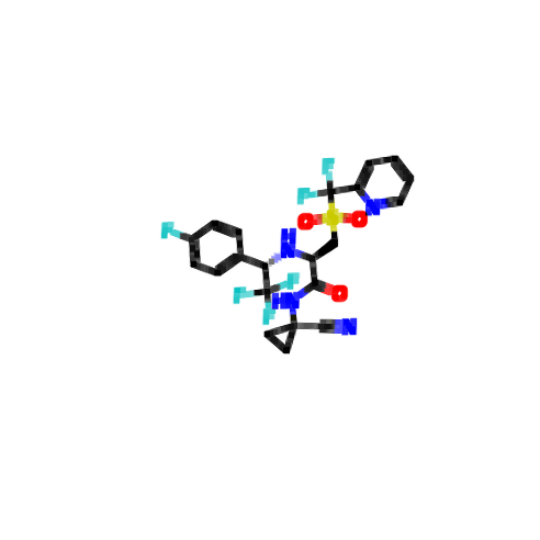 N#CC1(NC(=O)[C@H](CS(=O)(=O)C(F)(F)c2ccccn2)N[C@@H](c2ccc(F)cc2)C(F)(F)F)CC1